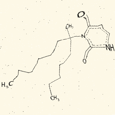 CCCCCCC(C)(CCCCC)n1c(=O)cc[nH]c1=O